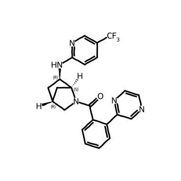 O=C(c1ccccc1-c1cnccn1)N1C[C@@H]2C[C@@H](Nc3ccc(C(F)(F)F)cn3)[C@@H]1C2